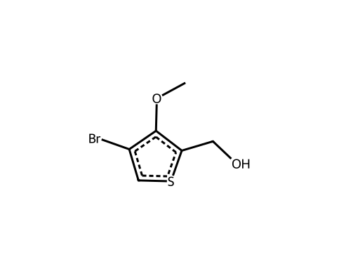 COc1c(Br)csc1CO